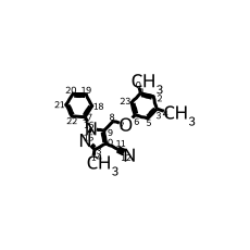 Cc1cc(C)cc(OCc2c(C#N)c(C)nn2-c2ccccc2)c1